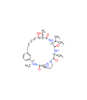 CC(C)[C@@H]1NC(=O)[C@H](C)[C@H](O)CCCCc2cccc(c2)[C@@H](C)NC(=O)[C@@H]2CCCN(N2)C(=O)[C@H](C)NC1=O